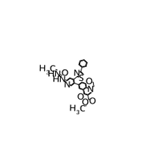 CCNC(=O)Nc1cc(-c2nc(-c3ccccc3)cs2)c(-c2cc3c4c(c2)c(=O)c(C(=O)OCC)cn4CCO3)cn1